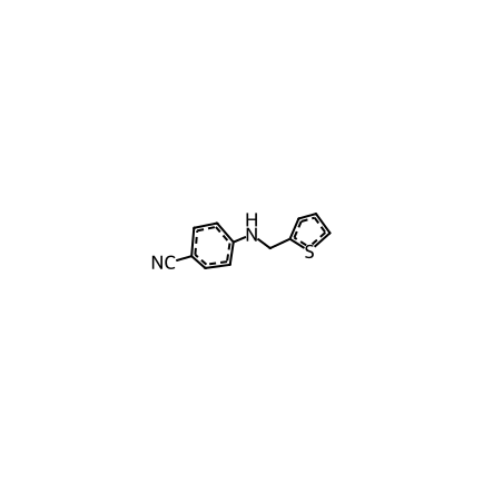 N#Cc1ccc(NCc2cccs2)cc1